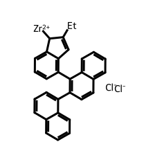 CCC1=Cc2c(-c3c(-c4cccc5ccccc45)ccc4ccccc34)cccc2[CH]1[Zr+2].[Cl-].[Cl-]